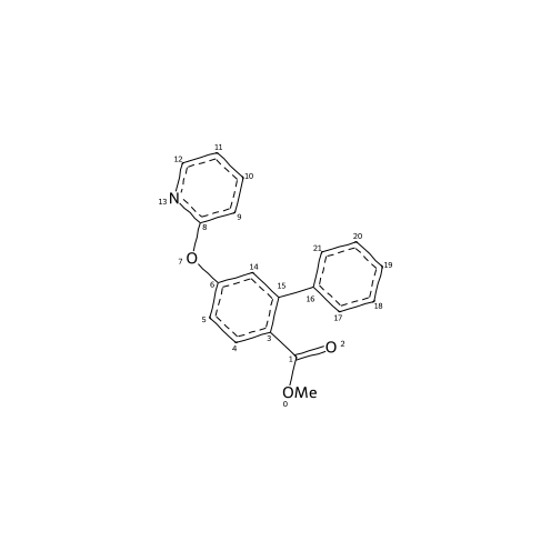 COC(=O)c1ccc(Oc2ccccn2)cc1-c1ccccc1